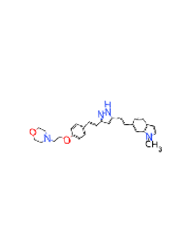 Cn1ccc2ccc(/C=C/c3cc(C=Cc4ccc(OCCN5CCOCC5)cc4)n[nH]3)cc21